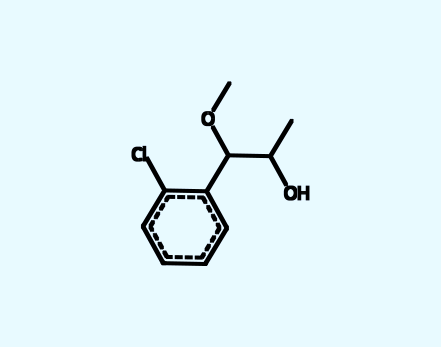 COC(c1ccccc1Cl)C(C)O